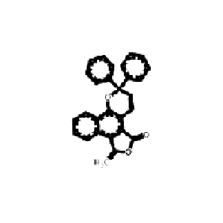 C=C1OC(=O)c2c3c(c4ccccc4c21)OC(c1ccccc1)(c1ccccc1)C=C3